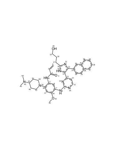 C=CC(=O)Nc1cc(Nc2nccc(-c3[nH]c(CCCO)nc3-c3ccc4ccccc4c3)n2)c(OC)cc1N1CCC(N(C)C)CC1